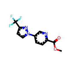 COC(=O)c1ccc(-n2ccc(C(F)(F)F)n2)cn1